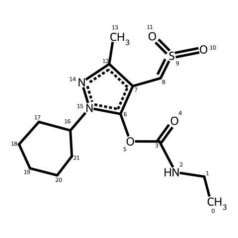 CCNC(=O)Oc1c(C=S(=O)=O)c(C)nn1C1CCCCC1